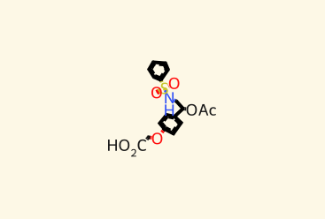 CC(=O)OC(CNS(=O)(=O)c1ccccc1)c1ccc(OCC(=O)O)cc1